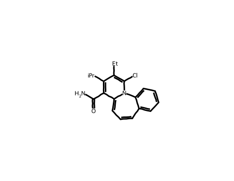 CCC1=C(Cl)N2C(=CC=Cc3ccccc32)C(C(N)=O)=C1C(C)C